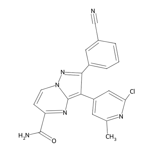 Cc1cc(-c2c(-c3cccc(C#N)c3)nn3ccc(C(N)=O)nc23)cc(Cl)n1